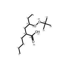 CCCCC(CC(CC)OOC(C)(C)C)C(=O)O